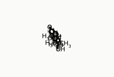 C[C@@H]1C[C@H]2[C@@H]3C=CC4=CC(=O)C=C[C@]4(C)[C@@]3(F)C(=O)C[C@]2(C)[C@@]1(O)C(=O)CO